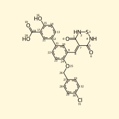 O=C1NSNC(=O)C1=Cc1cc(-c2ccc(O)c(C(=O)O)c2)ccc1OCc1ccc(Cl)cc1